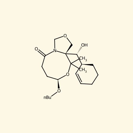 CCCCO[C@H]1CCC(=O)N2COC[C@@]2([C@H](O)[C@@H]2C=CCCC2)C(C)(C)O1